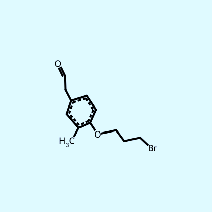 Cc1cc(CC=O)ccc1OCCCBr